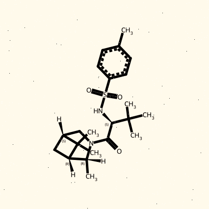 Cc1ccc(S(=O)(=O)N[C@H](C(=O)N2C[C@H]3C[C@@H]([C@H]2C)C3(C)C)C(C)(C)C)cc1